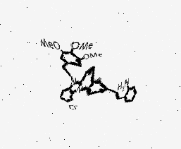 COc1cc(Cn2c3ccccc3[n+]3c4ccc(/C=C/c5ccccc5N)cc4ccc23)cc(OC)c1OC.[Cl-]